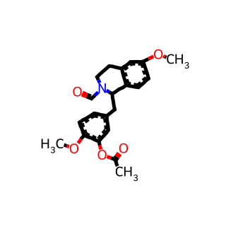 COc1ccc2c(c1)CCN(C=O)C2Cc1ccc(OC)c(OC(C)=O)c1